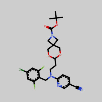 CC(C)(C)OC(=O)N1CC2(COC(CCN(Cc3c(F)cc(Cl)cc3F)c3ccc(C#N)cn3)OC2)C1